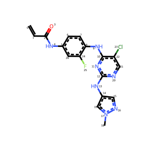 C=CC(=O)Nc1ccc(Nc2nc(Nc3cnn(C)c3)ncc2Cl)c(F)c1